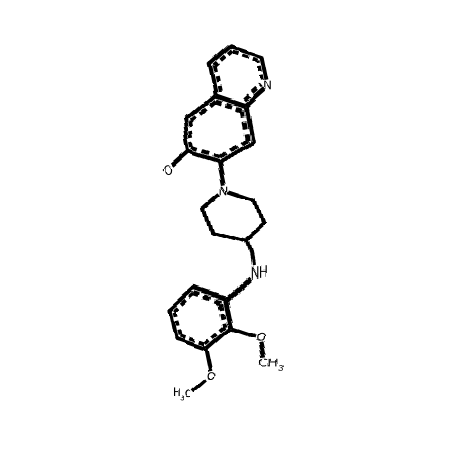 COc1cccc(NC2CCN(c3cc4ncccc4cc3[O])CC2)c1OC